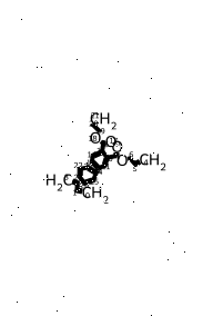 C=CC=C.C=CCOC(=O)c1ccccc1C(=O)OCC=C.c1ccccc1